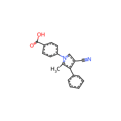 Cc1c(-c2ccccc2)c(C#N)cn1-c1ccc(C(=O)O)cc1